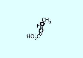 Cc1ccc(N2CCN(CC(=O)O)CC2)c(F)c1